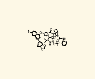 COc1ccc2c(OC3C[C@@H](C(=O)NC4(C(=O)NC(=O)Nc5ccccc5)CCC4)N(C(=O)[C@@H](NC(=O)OC(C)(C)C)C(C)C)C3)cc(-c3ccc4c(c3)OCO4)nc2c1